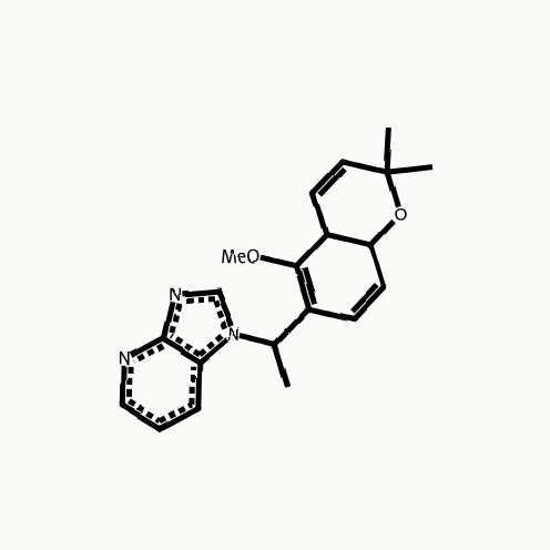 COC1=C(C(C)n2cnc3ncccc32)C=CC2OC(C)(C)C=CC12